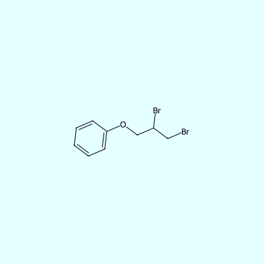 BrCC(Br)COc1ccccc1